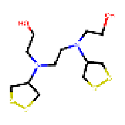 OCCN(CCN(CCO)C1CSSC1)C1CSSC1